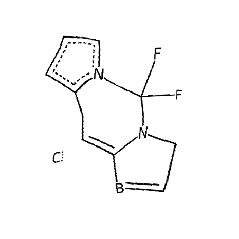 FC1(F)N2CC=BC2=Cc2cccn21.[C]